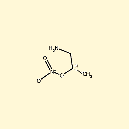 C[C@@H](CN)O[N+](=O)[O-]